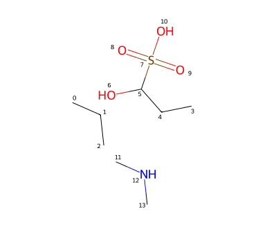 CCC.CCC(O)S(=O)(=O)O.CNC